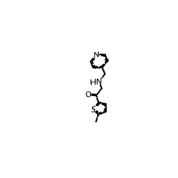 Cc1ccc(C(=O)CNCc2ccncc2)s1